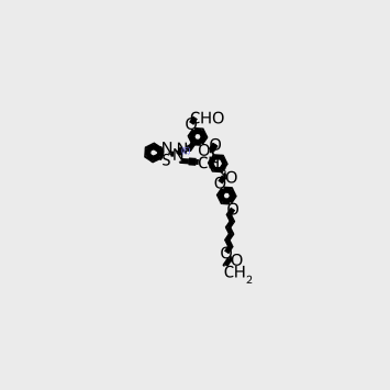 C=CC(=O)OCCCCCCOc1ccc(OC(=O)[C@H]2CC[C@H](C(=O)Oc3ccc(OC=O)cc3/C=N/N(CC#CC)c3nc4ccccc4s3)CC2)cc1